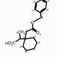 CC(C(=O)O)C1(CC(=O)OCc2ccccc2)CCCCC1